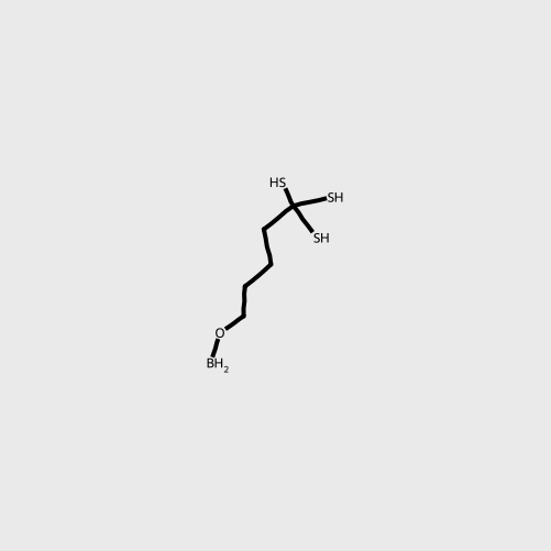 BOCCCCC(S)(S)S